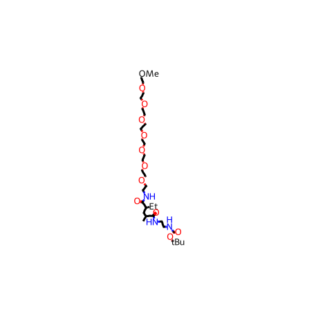 CCC(CC(C)C(=O)NCCNC(=O)OC(C)(C)C)C(=O)NCCOCCOCCOCCOCCOCCOCCOCCOC